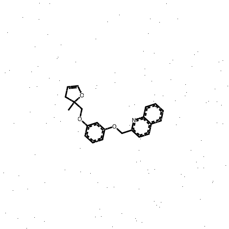 CC1(COc2cccc(OCc3ccc4ccccc4n3)c2)CC=CO1